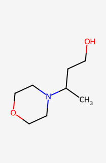 CC(CCO)N1CCOCC1